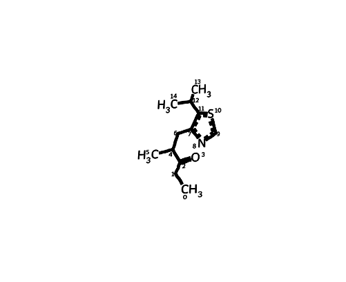 CCC(=O)C(C)Cc1ncsc1C(C)C